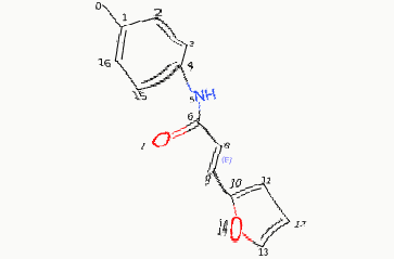 Cc1ccc(NC(=O)/C=C/c2ccco2)cc1